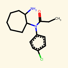 CCC(=O)N(c1ccc(Cl)cc1)C1CCCCCC1N